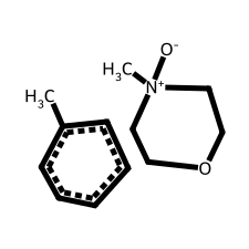 C[N+]1([O-])CCOCC1.Cc1ccccc1